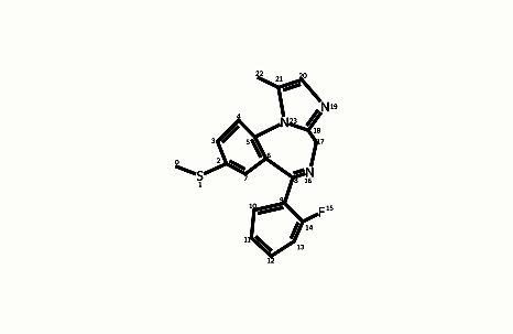 CSc1ccc2c(c1)C(c1ccccc1F)=NCc1ncc(C)n1-2